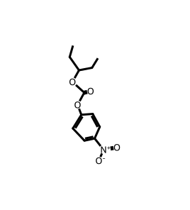 CCC(CC)OC(=O)Oc1ccc([N+](=O)[O-])cc1